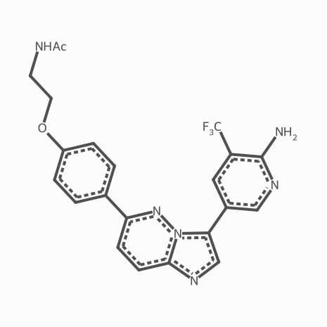 CC(=O)NCCOc1ccc(-c2ccc3ncc(-c4cnc(N)c(C(F)(F)F)c4)n3n2)cc1